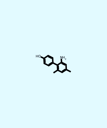 Cc1cc(C)c(-c2ccc(O)cc2)c(N)c1